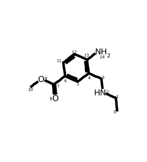 CCNCc1cc(C(=O)OC)ccc1N